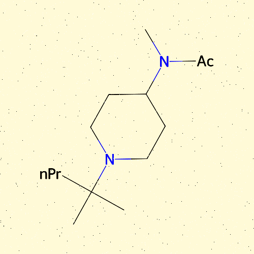 CCCC(C)(C)N1CCC(N(C)C(C)=O)CC1